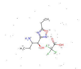 CCc1nc([C@@H](O)C(N)CC)no1.O=C(O)C(F)(F)F